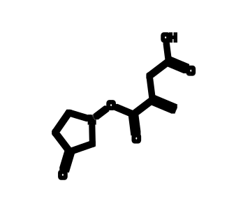 C=C(CC(=O)O)C(=O)ON1CCC(=O)C1